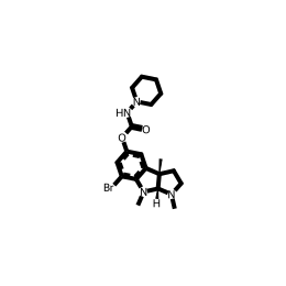 CN1CC[C@@]2(C)c3cc(OC(=O)NN4CCCCC4)cc(Br)c3N(C)[C@@H]12